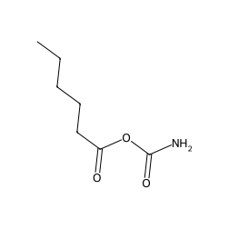 CCCCCC(=O)OC(N)=O